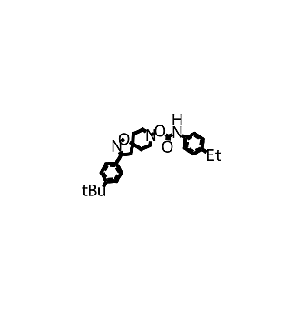 CCc1ccc(NC(=O)ON2CCC3(CC2)CC(c2ccc(C(C)(C)C)cc2)=NO3)cc1